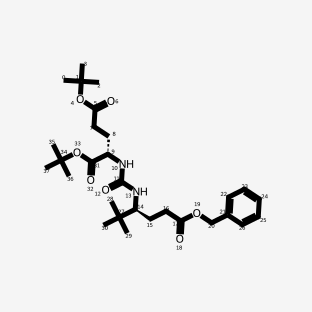 CC(C)(C)OC(=O)CC[C@H](NC(=O)N[C@@H](CCC(=O)OCc1ccccc1)C(C)(C)C)C(=O)OC(C)(C)C